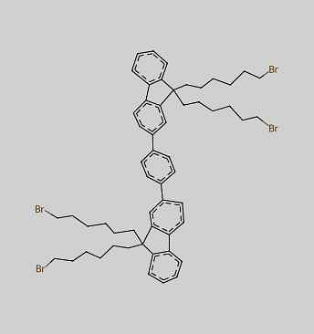 BrCCCCCCC1(CCCCCCBr)c2ccccc2-c2ccc(-c3ccc(-c4ccc5c(c4)C(CCCCCCBr)(CCCCCCBr)c4ccccc4-5)cc3)cc21